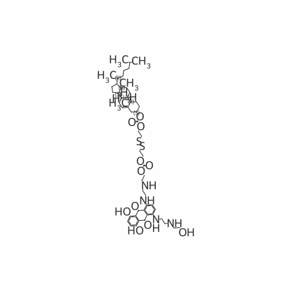 CC(C)CCC[C@@H](C)C1CC[C@H]2[C@@H]3CC=C4C[C@@H](OC(=O)OCCSSCCOC(=O)OCCNCCNc5ccc(NCCNCCO)c6c5C(=O)c5c(O)ccc(O)c5C6=O)CC[C@]4(C)[C@H]3CC[C@]12C